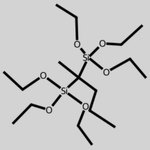 CCCC(C)([Si](OCC)(OCC)OCC)[Si](OCC)(OCC)OCC